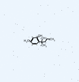 CCCC(C)(C)c1ccc(C)cc1O